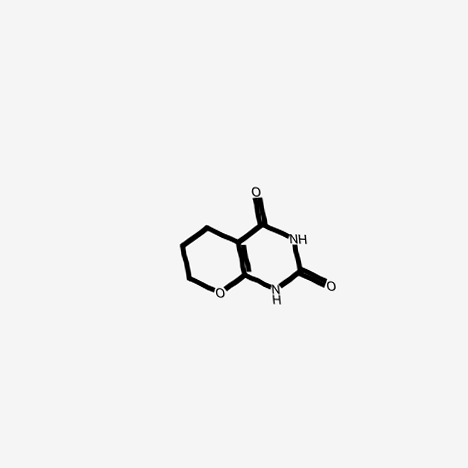 O=c1[nH]c2c(c(=O)[nH]1)CCCO2